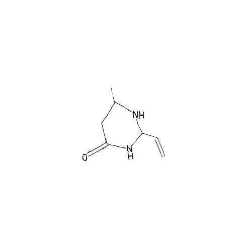 C=CC1NC(=O)CC(C)N1